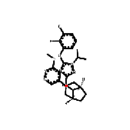 COc1cc(N2C[C@H]3CC[C@H](C2)C3Nc2nc(Oc3cccc(F)c3F)n(C(C)C)n2)cnn1